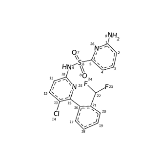 Nc1cccc(S(=O)(=O)Nc2ccc(Cl)c(-c3ccccc3C(F)F)n2)n1